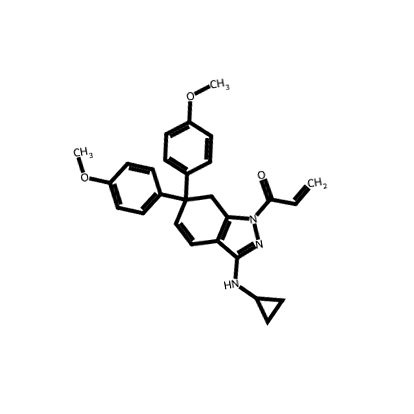 C=CC(=O)n1nc(NC2CC2)c2c1CC(c1ccc(OC)cc1)(c1ccc(OC)cc1)C=C2